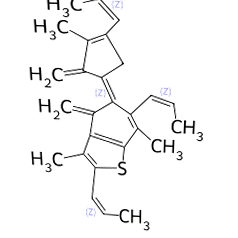 C=C1C(C)=C(/C=C\C)C/C1=c1\c(/C=C\C)c(C)c2sc(/C=C\C)c(C)c2c1=C